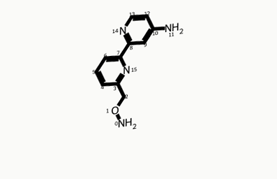 NOCc1cccc(-c2cc(N)ccn2)n1